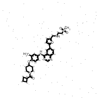 Cc1cc(Nc2ncnc3ccc(-c4ccc(CNCCS(C)(=O)=O)o4)cc23)ccc1OC1CCN(C(=O)C2CCC2)CC1